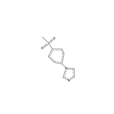 CS(=O)(=O)c1ccc(-n2ccnc2)cc1